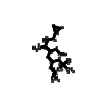 C=CCC(CC(CC(C)(C)C)C(=C)NCC1CC1)CC(C)(C)CC